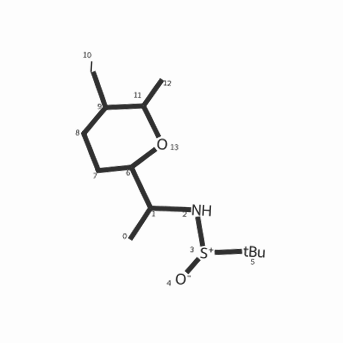 CC(N[S+]([O-])C(C)(C)C)C1CCC(I)C(C)O1